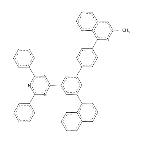 Cc1cc2ccccc2c(-c2ccc(-c3cc(-c4nc(-c5ccccc5)nc(-c5ccccc5)n4)cc(-c4cccc5ccccc45)c3)cc2)n1